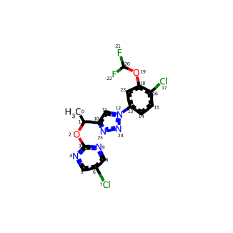 CC(Oc1ncc(Cl)cn1)c1cn(-c2ccc(Cl)c(OC(F)F)c2)nn1